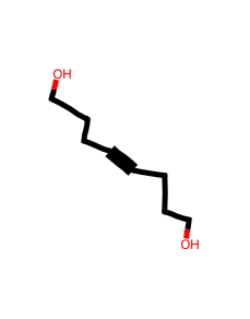 OCCCC#CCCCO